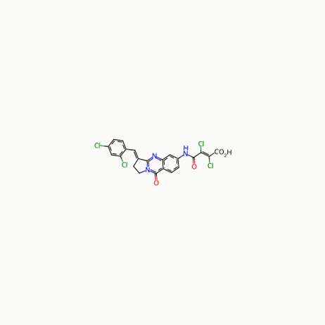 O=C(O)C(Cl)=C(Cl)C(=O)Nc1ccc2c(=O)n3c(nc2c1)C(=Cc1ccc(Cl)cc1Cl)CC3